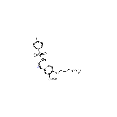 COc1cc(/C=N\NS(=O)(=O)c2ccc(C)cc2)ccc1OCCCC(=O)O